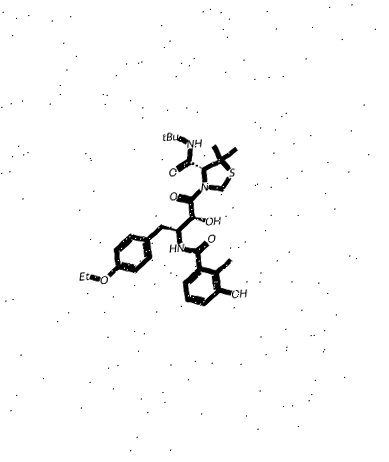 CCOc1ccc(C[C@H](NC(=O)c2cccc(O)c2C)[C@H](O)C(=O)N2CSC(C)(C)[C@H]2C(=O)NC(C)(C)C)cc1